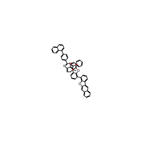 CC1C/C=C(c2ccnc3oc4c(-c5cccc6c5oc5cc7ccccc7cc56)cccc4c23)/N=C(c2ccc(-c3cccc4ccccc34)cc2)\N=C/1c1ccccc1